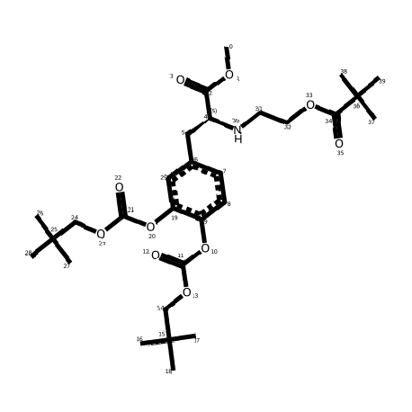 COC(=O)[C@H](Cc1ccc(OC(=O)OCC(C)(C)C)c(OC(=O)OCC(C)(C)C)c1)NCCOC(=O)C(C)(C)C